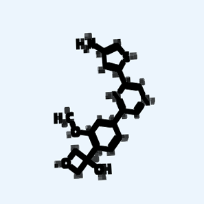 COc1cc(-c2cncc(-c3cc(N)cs3)n2)ccc1C1(O)COC1